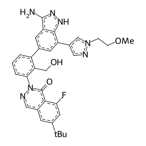 COCCn1cc(-c2cc(-c3cccc(-n4ncc5cc(C(C)(C)C)cc(F)c5c4=O)c3CO)cc3c(N)n[nH]c23)cn1